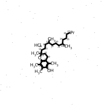 Cc1c(C)c2c(c(C)c1O)CC[C@@](C)(CCCC(C)CCCC(C)CCCC(C)C)O2.Cl